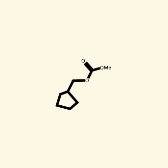 COC(=O)O[CH]C1CCCC1